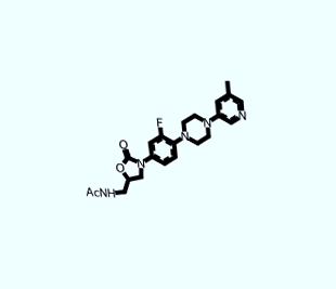 CC(=O)NCC1CN(c2ccc(N3CCN(c4cncc(C)c4)CC3)c(F)c2)C(=O)O1